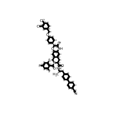 C[C@@H](Cc1ccc(-c2ccc(C#N)cc2)cc1)NC(=O)C1Cc2cc3c(cc2CN1C(=O)c1c(F)cc(F)cc1F)O[C@@H](c1ccc(OCc2ccc(Cl)c(Cl)c2)cc1)C(=O)N3